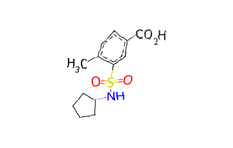 Cc1ccc(C(=O)O)cc1S(=O)(=O)NC1CCCC1